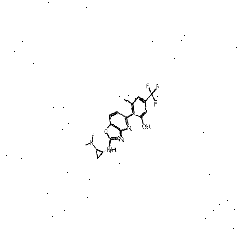 Cc1cc(C(F)(F)F)cc(O)c1-c1ccc2oc(N[C@@H]3C[C@H]3N(C)C)nc2n1